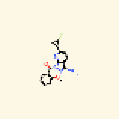 COc1ccccc1C(=O)n1nc(N)c2ccc(C3CC3F)nc21